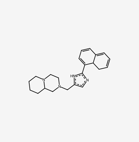 C1=CCC2C(=C1)C=CC=C2c1ncc(CN2CCN3CCCCC3C2)[nH]1